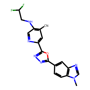 Cn1cnc2cc(-c3nnc(-c4cc(C#N)c(NCC(F)F)cn4)o3)ccc21